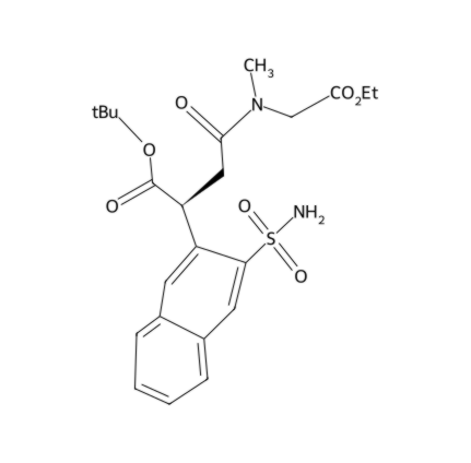 CCOC(=O)CN(C)C(=O)C[C@H](C(=O)OC(C)(C)C)c1cc2ccccc2cc1S(N)(=O)=O